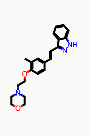 Cc1cc(C=Cc2n[nH]c3ccccc23)ccc1OCCN1CCOCC1